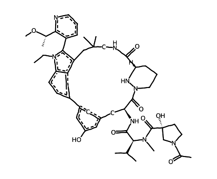 CCn1c(-c2cccnc2[C@H](C)OC)c2c3cc(ccc31)-c1cc(O)cc(c1)C[C@H](NC(=O)[C@H](C(C)C)N(C)C(=O)[C@@]1(O)CCN(C(C)=O)C1)C(=O)N1CCC[C@H](N1)C(=O)NCC(C)(C)C2